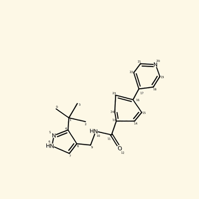 CC(C)(C)c1n[nH]cc1CNC(=O)c1ccc(-c2ccncc2)cc1